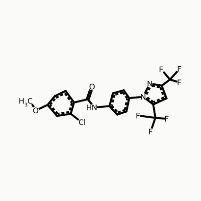 COc1ccc(C(=O)Nc2ccc(-n3nc(C(F)(F)F)cc3C(F)(F)F)cc2)c(Cl)c1